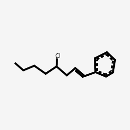 CCCCC(Cl)CC=Cc1ccccc1